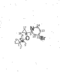 CC(C)(C)[Si](C)(C)OC1(c2cc(Br)ccn2)CC1